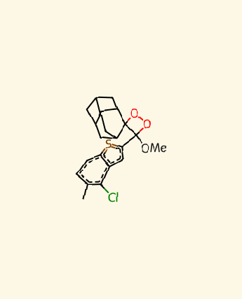 COC1(c2cc3c(Cl)c(C)ccc3s2)OOC12C1CC3CC(C1)CC2C3